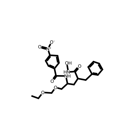 CCOCOCC(CC(Cc1ccccc1)C(=O)NO)NC(=O)c1ccc([N+](=O)[O-])cc1